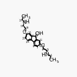 CCNCCOc1ccc2c(c1)C(O)c1cc(OCCNCC)ccc1-2